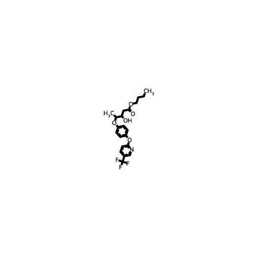 CCCCOC(=O)CC(O)C(C)Oc1ccc(Oc2ccc(C(F)(F)F)cn2)cc1